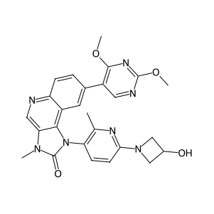 COc1ncc(-c2ccc3ncc4c(c3c2)n(-c2ccc(N3CC(O)C3)nc2C)c(=O)n4C)c(OC)n1